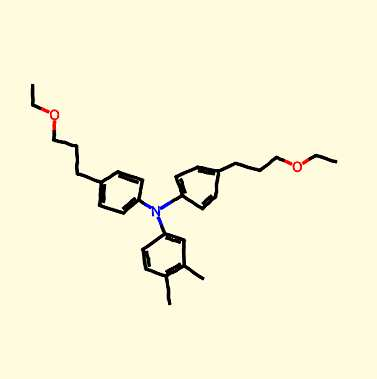 CCOCCCc1ccc(N(c2ccc(CCCOCC)cc2)c2ccc(C)c(C)c2)cc1